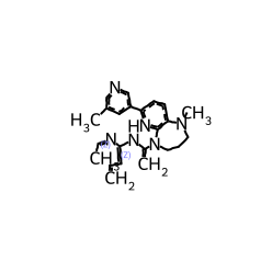 C=C/C=C(\N=C/C)NC(=C)N1CCCN(C)c2ccc(-c3cncc(C)c3)nc21